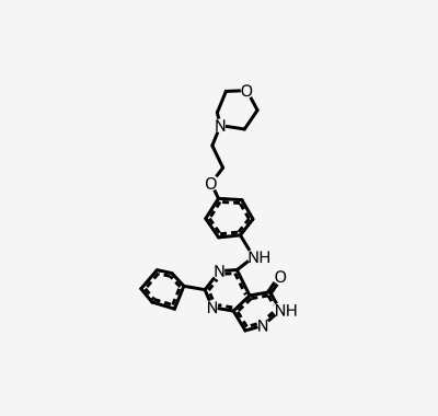 O=c1[nH]ncc2nc(-c3ccccc3)nc(Nc3ccc(OCCN4CCOCC4)cc3)c12